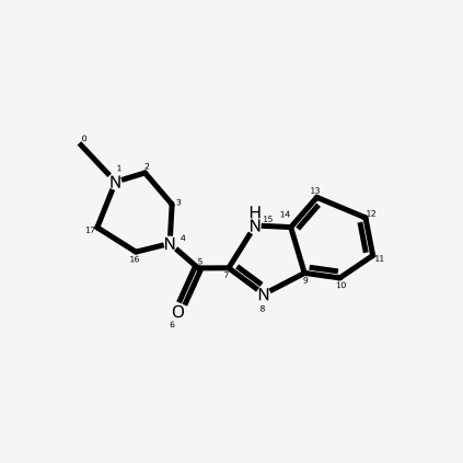 CN1CCN(C(=O)c2nc3ccccc3[nH]2)CC1